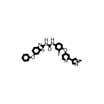 Cn1cc(-c2cc(Oc3ccc(NC(=O)Nc4nc5ccc(Oc6ccccc6)cc5s4)cc3F)ccn2)cn1